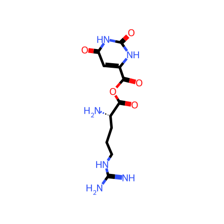 N=C(N)NCCC[C@H](N)C(=O)OC(=O)c1cc(=O)[nH]c(=O)[nH]1